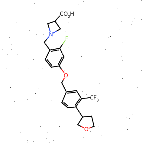 O=C(O)C1CN(Cc2ccc(OCc3ccc(C4CCOC4)c(C(F)(F)F)c3)cc2F)C1